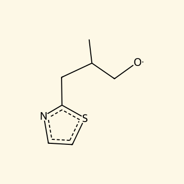 CC(C[O])Cc1nccs1